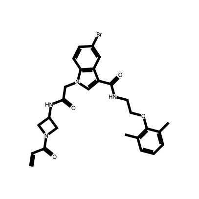 C=CC(=O)N1CC(NC(=O)Cn2cc(C(=O)NCCOc3c(C)cccc3C)c3cc(Br)ccc32)C1